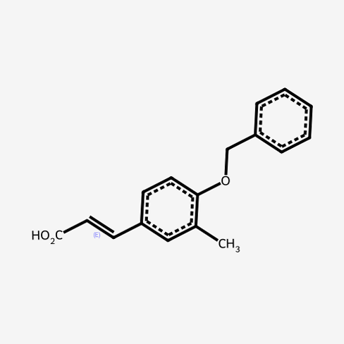 Cc1cc(/C=C/C(=O)O)ccc1OCc1ccccc1